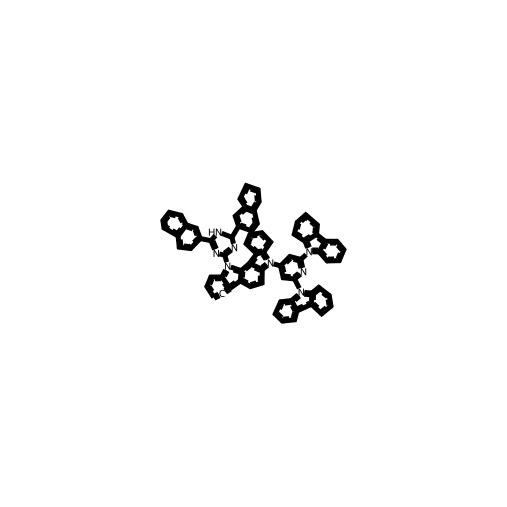 c1ccc2cc(C3=NC(n4c5ccccc5c5ccc6c(c7ccccc7n6-c6cc(-n7c8ccccc8c8ccccc87)nc(-n7c8ccccc8c8ccccc87)c6)c54)=NC(c4ccc5ccccc5c4)N3)ccc2c1